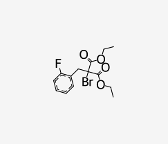 CCOC(=O)C(Br)(Cc1ccccc1F)C(=O)OCC